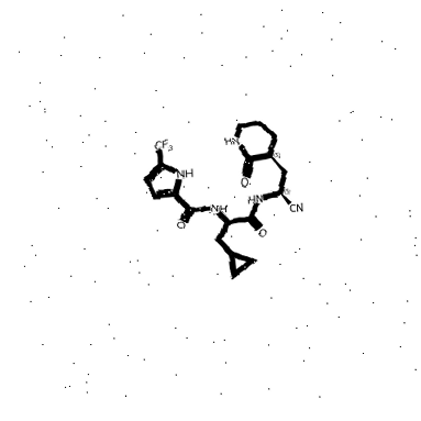 N#C[C@H](C[C@@H]1CCCNC1=O)NC(=O)C(CC1CC1)NC(=O)c1ccc(C(F)(F)F)[nH]1